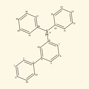 c1ccc(-c2cccc([SH](c3ccccc3)c3ccccc3)c2)cc1